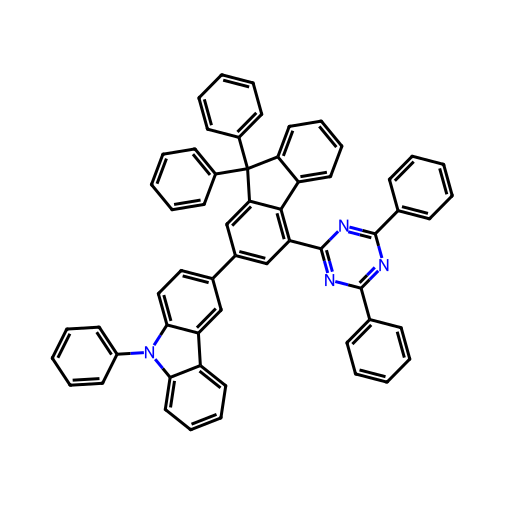 c1ccc(-c2nc(-c3ccccc3)nc(-c3cc(-c4ccc5c(c4)c4ccccc4n5-c4ccccc4)cc4c3-c3ccccc3C4(c3ccccc3)c3ccccc3)n2)cc1